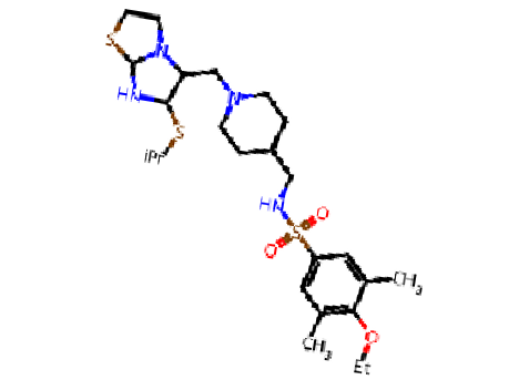 CCOc1c(C)cc(S(=O)(=O)NCC2CCN(CC3C(SC(C)C)NC4SCCN43)CC2)cc1C